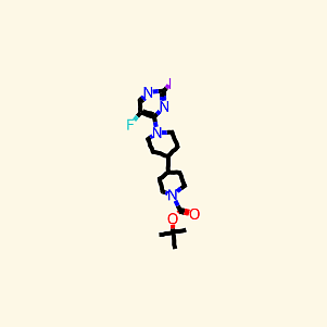 CC(C)(C)OC(=O)N1CCC(C2CCN(c3nc(I)ncc3F)CC2)CC1